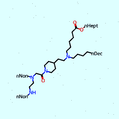 CCCCCCCCCCCCCCN(CCCCCC(=O)OCCCCCCC)CCC1CCN(C(=O)CN(CCCCCCCCC)CCNCCCCCCCCC)CC1